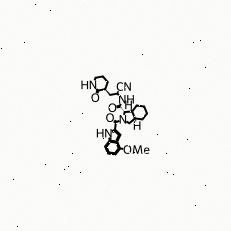 COc1cccc2[nH]c(C(=O)N3C[C@@H]4CCCC[C@@H]4[C@H]3C(=O)N[C@H](C#N)C[C@@H]3CCCNC3=O)cc12